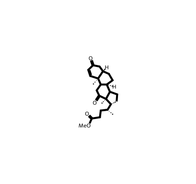 COC(=O)CC[C@@H](C)[C@H]1CCC2[C@@H]3CC[C@@H]4CC(=O)C=C[C@]4(C)C3CC(=O)[C@@]21C